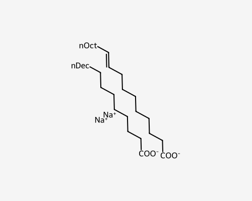 CCCCCCCCC=CCCCCCCCC(=O)[O-].CCCCCCCCCCCCCCCCCC(=O)[O-].[Na+].[Na+]